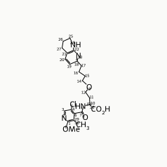 COc1ncc(Cl)c(C(=O)N[C@@H](CCOCCCCc2ccc3c(n2)NCCC3)C(=O)O)c1C